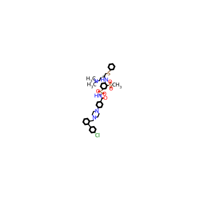 CN(C)CC[C@H](CSc1ccccc1)Nc1ccc(S(=O)(=O)NC(=O)c2ccc(N3CCN(Cc4ccccc4-c4ccc(Cl)cc4)CC3)cc2)cc1S(C)(=O)=O